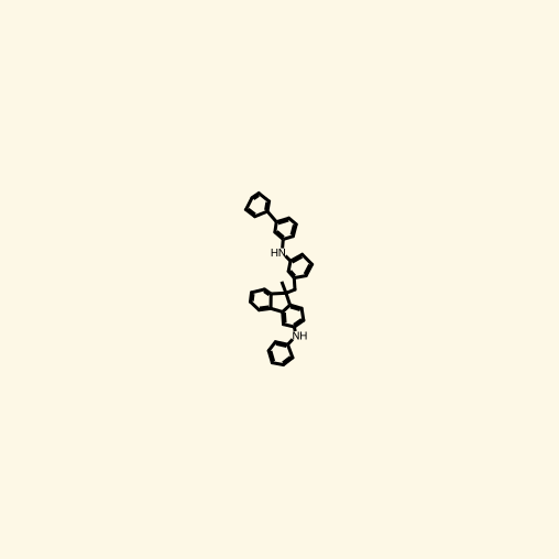 CC1(Cc2cccc(Nc3cccc(-c4ccccc4)c3)c2)c2ccccc2-c2cc(Nc3ccccc3)ccc21